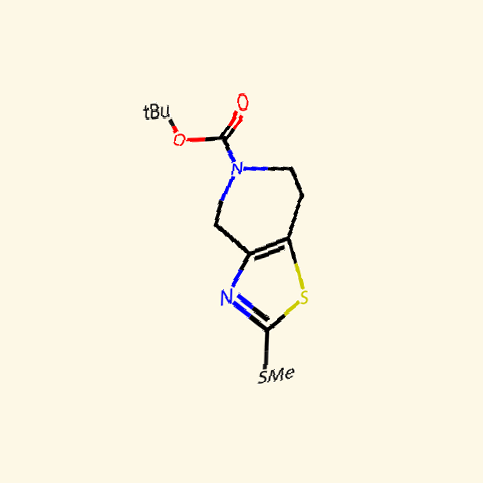 CSc1nc2c(s1)CCN(C(=O)OC(C)(C)C)C2